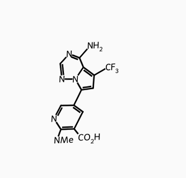 CNc1ncc(-c2cc(C(F)(F)F)c3c(N)ncnn23)cc1C(=O)O